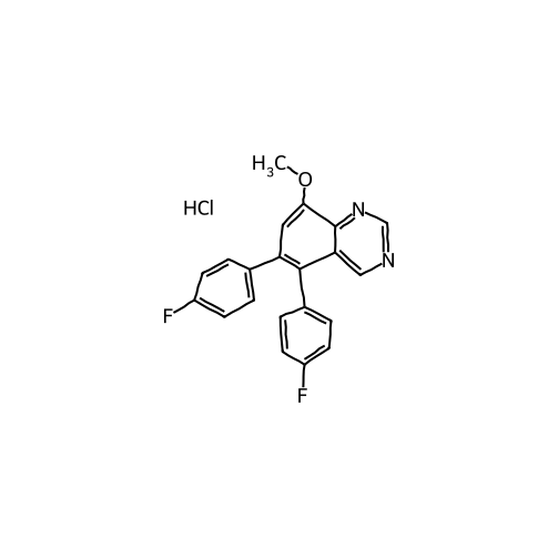 COc1cc(-c2ccc(F)cc2)c(-c2ccc(F)cc2)c2cncnc12.Cl